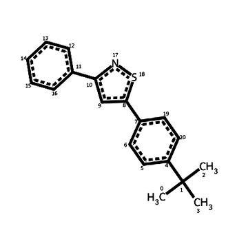 CC(C)(C)c1ccc(-c2cc(-c3ccccc3)ns2)cc1